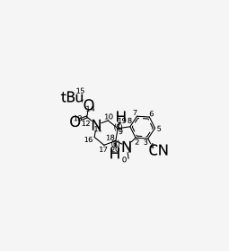 CN1c2c(C#N)cccc2[C@H]2CN(C(=O)OC(C)(C)C)CC[C@H]21